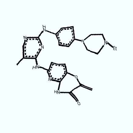 C=C1Oc2ccc(Nc3nc(Nc4ccc(N5CCN(CC)CC5)cc4)ncc3C)nc2NC1=O